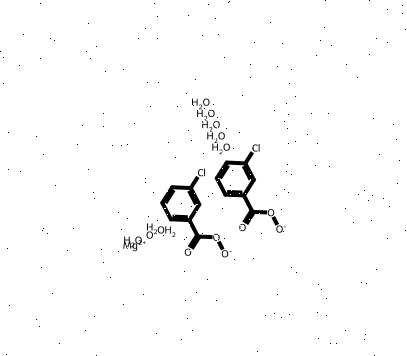 O.O.O.O.O.O.O.O.O=C(O[O-])c1cccc(Cl)c1.O=C(O[O-])c1cccc(Cl)c1.[Mg+2]